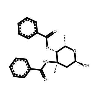 C[C@@H]1O[C@@H](O)C[C@@](C)(NC(=O)c2ccccc2)[C@@H]1OC(=O)c1ccccc1